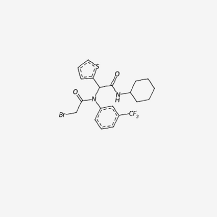 O=C(NC1CCCCC1)C(c1cccs1)N(C(=O)CBr)c1cccc(C(F)(F)F)c1